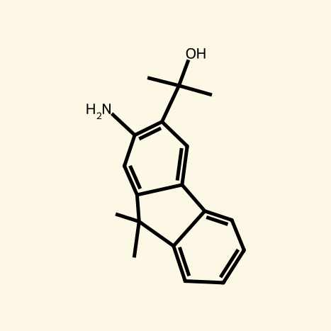 CC(C)(O)c1cc2c(cc1N)C(C)(C)c1ccccc1-2